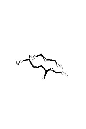 CCCCC(=O)OCC.CCOCC